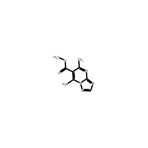 COC(=O)c1c(C)nc2ncnn2c1N